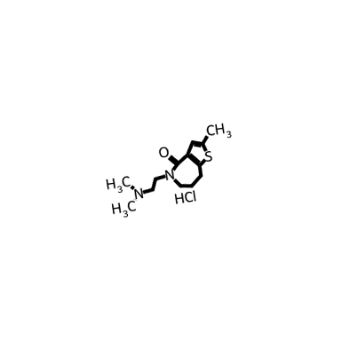 Cc1cc2c(s1)CCCN(CCN(C)C)C2=O.Cl